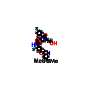 COc1cc2nccc(Oc3ccc(NC(=O)Oc4cn(CCCO)c(=O)n(-c5ccc(F)cc5)c4=O)c(F)c3)c2cc1OC